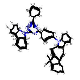 CC1(C)c2ccccc2-c2cc3c4ccccc4n(-c4ccc(-c5nc(-c6ccccc6)nc(-n6c7ccccc7c7ccccc76)n5)cc4)c3cc21